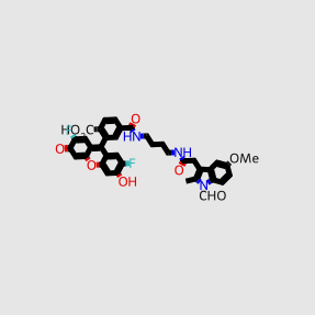 COc1ccc2c(c1)c(CC(=O)NCCCCNC(=O)c1ccc(C(=O)O)c(-c3c4cc(F)c(=O)cc-4oc4cc(O)c(F)cc34)c1)c(C)n2C=O